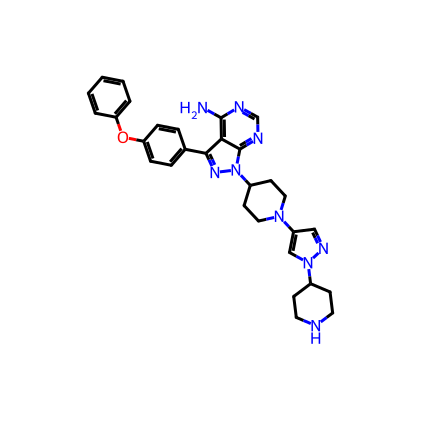 Nc1ncnc2c1c(-c1ccc(Oc3ccccc3)cc1)nn2C1CCN(c2cnn(C3CCNCC3)c2)CC1